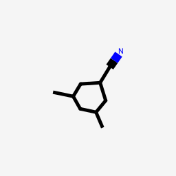 CC1CC(C)CC(C#N)C1